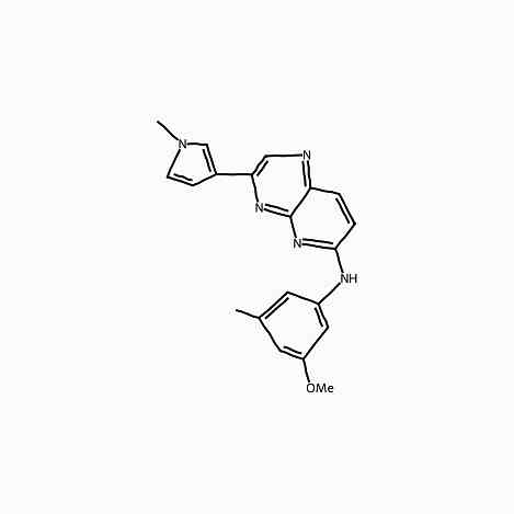 COc1cc(C)cc(Nc2ccc3ncc(-c4ccn(C)c4)nc3n2)c1